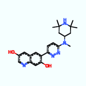 CN(c1ccc(-c2cc3cc(O)cnc3cc2O)nn1)C1CC(C)(C)NC(C)(C)C1